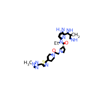 C=C(C=N)C(=N)c1nc(N(CC)C(=O)[C@@H]2CCN(CC(=O)N3CC=C(c4ncc(-c5ncn(C)n5)s4)CC3)C2)ccc1N